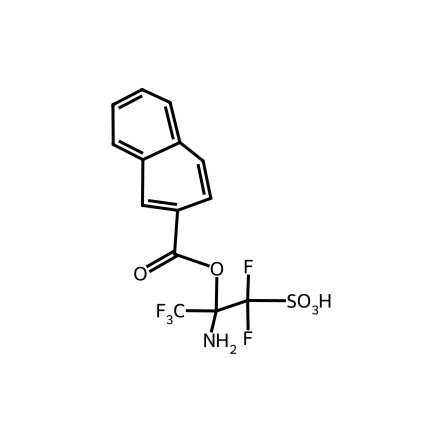 NC(OC(=O)c1ccc2ccccc2c1)(C(F)(F)F)C(F)(F)S(=O)(=O)O